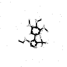 CCOn1cnc(C(F)(F)F)c1-c1cc(OC)c(OC)c(OC)c1